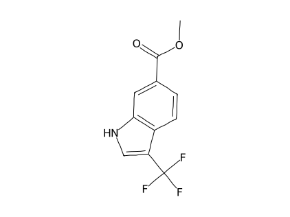 COC(=O)c1ccc2c(C(F)(F)F)c[nH]c2c1